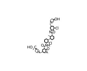 Cc1c(-c2nc3cc(CN4CC[C@@H](O)C4)cc(Cl)c3o2)cccc1-c1cccc(NC(=O)c2cc(CN3CC[C@@H](C(=O)O)C3)cn(C)c2=O)c1Cl